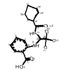 O=C(O)c1ccccc1NC(NC(=O)C1CCCCC1)C(Cl)(Cl)Cl